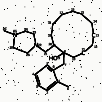 Cc1ccccc1CC1(O)CCCCCCCCCCC1CN1CCN(C)CC1